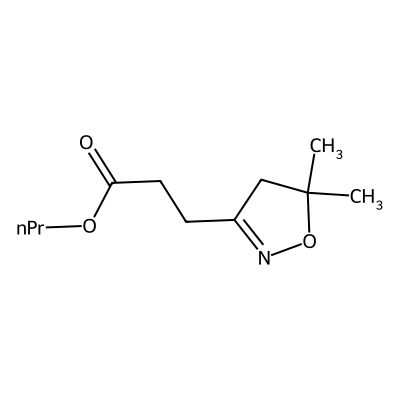 CCCOC(=O)CCC1=NOC(C)(C)C1